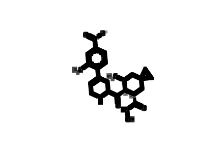 Cc1cc([N+](=O)[O-])ccc1C1=CCNC(C(=O)[C@@H]2[C@@H](C(=O)NO)CC3(CC3)CN2C)C1